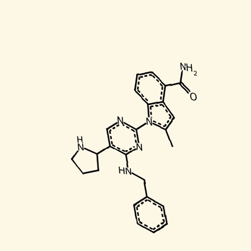 Cc1cc2c(C(N)=O)cccc2n1-c1ncc(C2CCCN2)c(NCc2ccccc2)n1